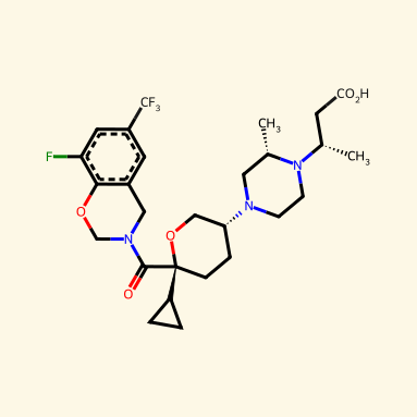 C[C@@H](CC(=O)O)N1CCN([C@@H]2CC[C@@](C(=O)N3COc4c(F)cc(C(F)(F)F)cc4C3)(C3CC3)OC2)C[C@@H]1C